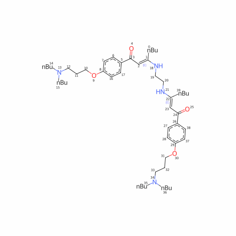 CCCC/C(=C\C(=O)c1ccc(OCCCN(CCCC)CCCC)cc1)NCCN/C(=C/C(=O)c1ccc(OCCCN(CCCC)CCCC)cc1)CCCC